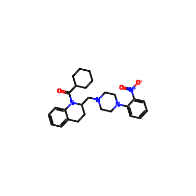 O=C(C1CCCCC1)N1c2ccccc2CCC1CN1CCN(c2ccccc2[N+](=O)[O-])CC1